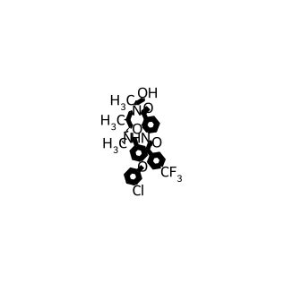 CC(CO)N1C[C@@H](C)[C@@H](CN(C)Cc2ccc(Oc3cccc(Cl)c3)cc2)Oc2c(NC(=O)Cc3ccc(C(F)(F)F)cc3)cccc2C1=O